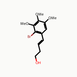 COc1cc(C=CCCO)c(Br)c(OC)c1OC